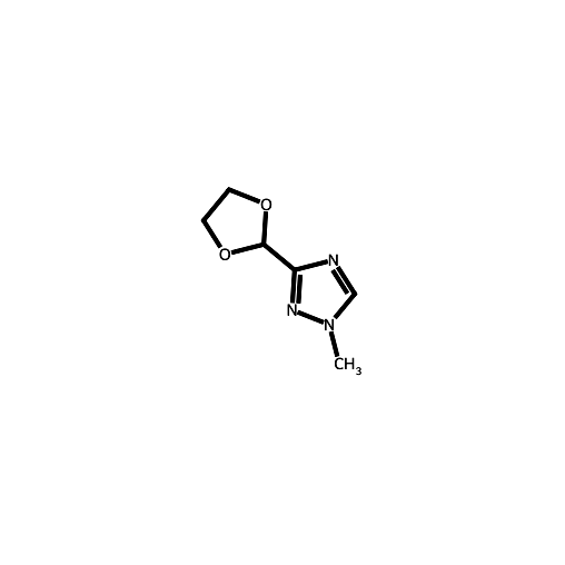 Cn1cnc(C2OCCO2)n1